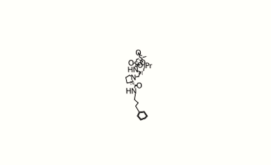 CC(C)C[C@H](CN1CCC[C@H]1C(=O)NCCCCc1ccccc1)NS(=O)(=O)CS(C)(=O)=O